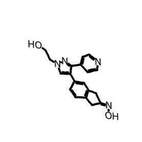 OCCn1cc(-c2ccc3c(c2)CC(=NO)C3)c(-c2ccncc2)n1